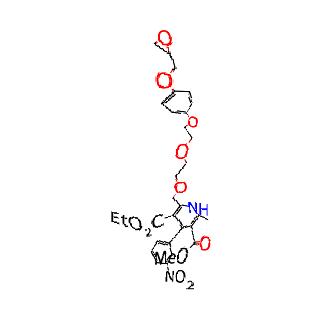 CCOC(=O)C1=C(COCCOCCOc2ccc(OCC3CO3)cc2)NC(C)=C(C(=O)OC)C1c1cccc([N+](=O)[O-])c1